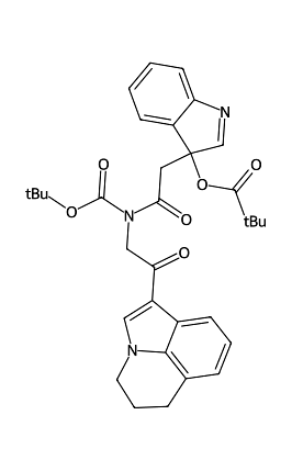 CC(C)(C)OC(=O)N(CC(=O)c1cn2c3c(cccc13)CCC2)C(=O)CC1(OC(=O)C(C)(C)C)C=Nc2ccccc21